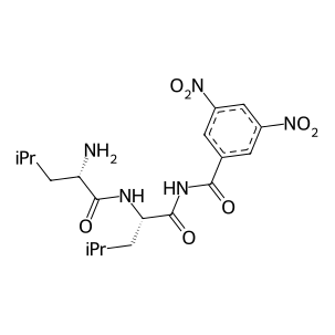 CC(C)C[C@H](NC(=O)[C@@H](N)CC(C)C)C(=O)NC(=O)c1cc([N+](=O)[O-])cc([N+](=O)[O-])c1